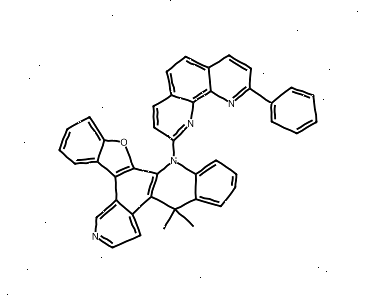 CC1(C)c2ccccc2N(c2ccc3ccc4ccc(-c5ccccc5)nc4c3n2)c2c1c1ccncc1c1c2oc2ccccc21